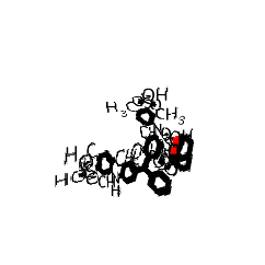 Cc1cc(C)c(S(=O)(=O)O)c(C)c1/N=c1\cc2oc3cc(Nc4c(C)cc(C)c(S(=O)(=O)O)c4C)ccc3c(-c3ccccc3S(=O)(=O)NC34CC5CC(CC(C5)C3)C4)c-2cc1S(=O)(=O)O